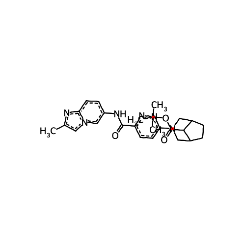 Cc1cn2cc(NC(=O)c3ccc(N4CC5CCC(C4)C5C(=O)OC(C)(C)C)nn3)ccc2n1